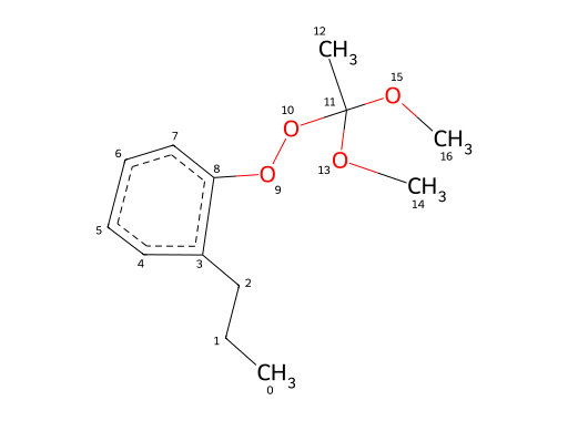 CCCc1ccccc1OOC(C)(OC)OC